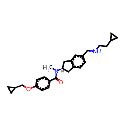 CN(C(=O)c1ccc(OCC2CC2)cc1)[C@@H]1Cc2ccc(CNCCC3CC3)cc2C1